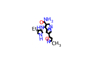 CC[C@@H]1CNC[C@H]1Nc1c(C(N)=O)cnn2cc(-c3cc(C)no3)cc12